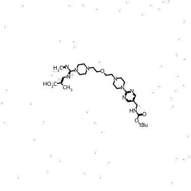 C=N/C(=N\C=C(/C)C(=O)O)N1CCN(CCOCCN2CCN(c3ncc(CNC(=O)OC(C)(C)C)cn3)CC2)CC1